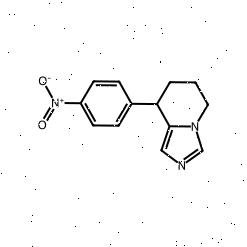 O=[N+]([O-])c1ccc(C2CCCn3cncc32)cc1